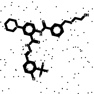 O=C(Nc1ccc(N2CCCCC2)cc1C(=O)NN=Cc1ccc(Cl)c(C(F)(F)F)c1)c1cccc(CSCCO)c1